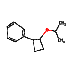 CC(C)OC1CCC1c1ccccc1